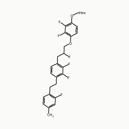 CCCCCCOc1ccc(OCC(F)Cc2ccc(CCc3ccc(C)cc3F)c(F)c2F)c(F)c1F